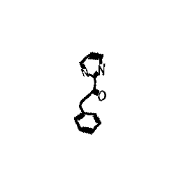 O=C(Cc1ccccc1)c1ncccn1